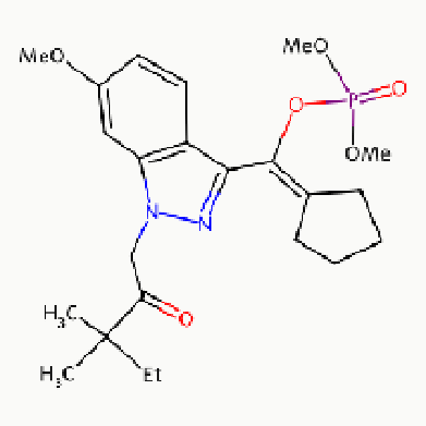 CCC(C)(C)C(=O)Cn1nc(C(OP(=O)(OC)OC)=C2CCCC2)c2ccc(OC)cc21